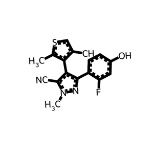 Cc1csc(C)c1-c1c(-c2ccc(O)cc2F)nn(C)c1C#N